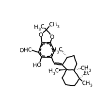 CC[C@]1(C)CCC[C@]2(C)/C(=C/c3cc4c(c(C=O)c3O)OC(C)(C)O4)[C@H](C)CC[C@@]12C